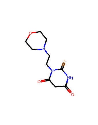 O=C1CC(=O)N(CCN2CCOCC2)C(=S)N1